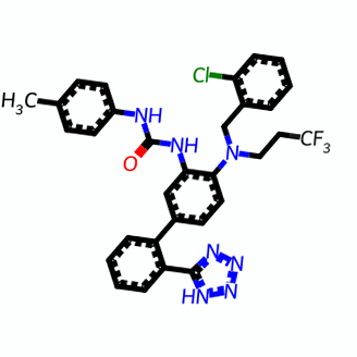 Cc1ccc(NC(=O)Nc2cc(-c3ccccc3-c3nnn[nH]3)ccc2N(CCC(F)(F)F)Cc2ccccc2Cl)cc1